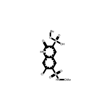 CCC(C)OP(=O)(O)c1cc2cc(S(=O)(=O)NOC)c(Cl)cc2[nH]c1=O